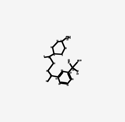 CC(CCC(C)C1CCC(O)CC1)c1cccc(C(F)(F)F)c1